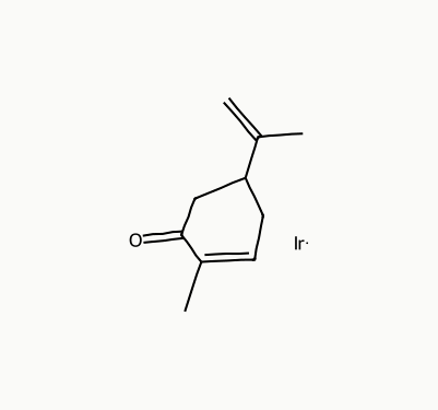 C=C(C)C1CC=C(C)C(=O)C1.[Ir]